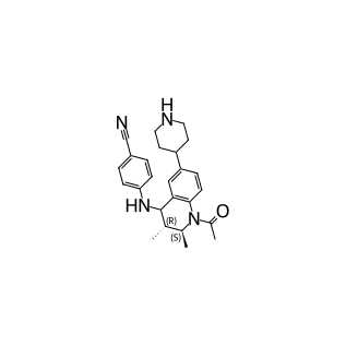 CC(=O)N1c2ccc(C3CCNCC3)cc2C(Nc2ccc(C#N)cc2)[C@@H](C)[C@@H]1C